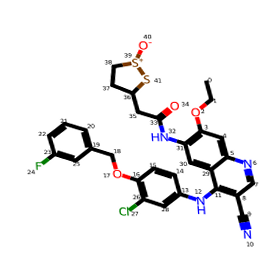 CCOc1cc2ncc(C#N)c(Nc3ccc(OCc4cccc(F)c4)c(Cl)c3)c2cc1NC(=O)CC1CC[S+]([O-])S1